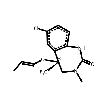 CC=CO[C@@]1(C(F)(F)F)CN(C)C(=O)Nc2ccc(Cl)cc21